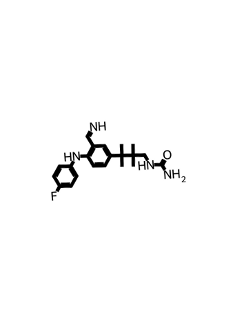 CC(C)(CNC(N)=O)C(C)(C)c1ccc(Nc2ccc(F)cc2)c(C=N)c1